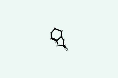 O=C1CC2CCCC=C2[N]1